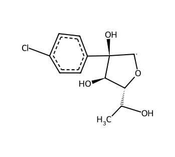 CC(O)[C@H]1O[CH][C@@](O)(c2ccc(Cl)cc2)[C@@H]1O